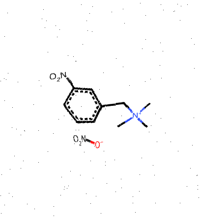 C[N+](C)(C)Cc1cccc([N+](=O)[O-])c1.O=[N+]([O-])[O-]